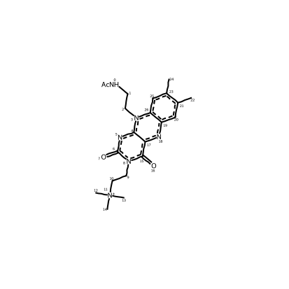 CC(=O)NCCn1c2nc(=O)n(CC[N+](C)(C)C)c(=O)c-2nc2cc(C)c(C)cc21